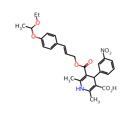 CCOC(C)Oc1ccc(C=CCOC(=O)C2=C(C)NC(C)=C(C(=O)O)C2c2cccc([N+](=O)[O-])c2)cc1